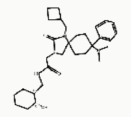 CN(C)C1(c2ccccc2)CCC2(CC1)CN(CC(=O)NC[C@@H]1CCCC[C@H]1O)C(=O)N2CC1CCC1